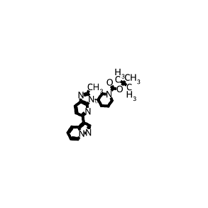 Cc1nc2ccc(-c3cnn4ccccc34)nc2n1[C@H]1CCCN(C(=O)OC(C)(C)C)C1